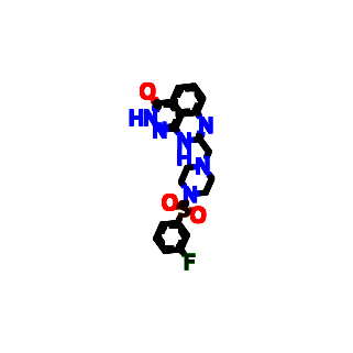 O=c1[nH]nc2c3c(cccc13)N=C(CN1CCN(S(=O)(=O)c3cccc(F)c3)CC1)N2